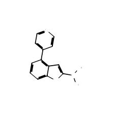 OB(O)c1cc2c(-c3ccncc3)cccc2o1